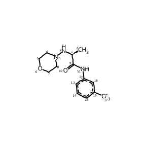 C[C@H](NN1CCOCC1)C(=O)Nc1cccc(C(F)(F)F)c1